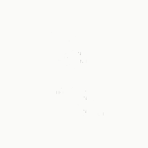 Cc1cn(-c2ccc(C(=O)NN3CCCC(c4ccccc4Cl)C3=O)cc2CO)cn1